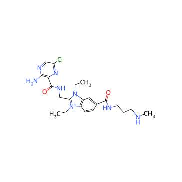 CCn1c(CNC(=O)c2nc(Cl)cnc2N)[n+](CC)c2ccc(C(=O)NCCCNC)cc21